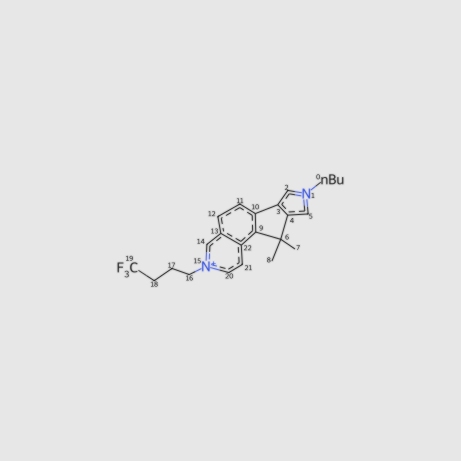 CCCCn1cc2c(c1)C(C)(C)c1c-2ccc2c[n+](CCCC(F)(F)F)ccc12